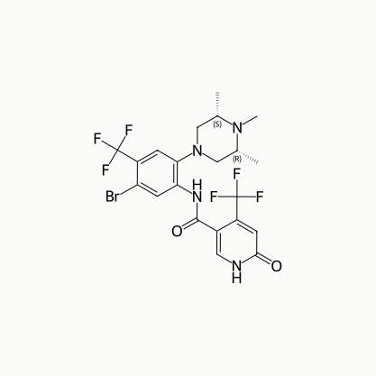 C[C@@H]1CN(c2cc(C(F)(F)F)c(Br)cc2NC(=O)c2c[nH]c(=O)cc2C(F)(F)F)C[C@H](C)N1C